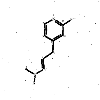 CN(C)C=CCc1ccnc(F)c1